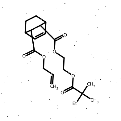 C=CCOC(=O)C1C2C=CC(CC2)C1C(=O)OCCOC(=O)C(C)(C)CC